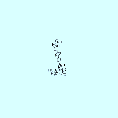 CN(C(=O)O)[C@H]1CCC(=O)N2CCC[C@@H](c3ncc(-c4ccc(-c5cnc6cc(-c7cnc([C@@H]8CCCN8)[nH]7)ccc6n5)cc4)[nH]3)N2C1=O